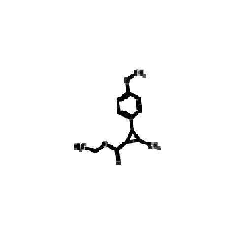 CCOC(=O)C1C(C)C1c1ccc(OC)cc1